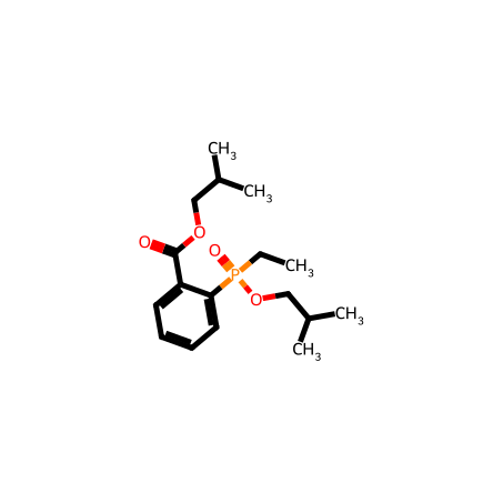 CCP(=O)(OCC(C)C)c1ccccc1C(=O)OCC(C)C